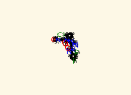 O=c1c2c(-c3nc(-c4ccc(F)cc4F)no3)ncn2c2cccc(Cl)c2n1CCN1CCOCC1